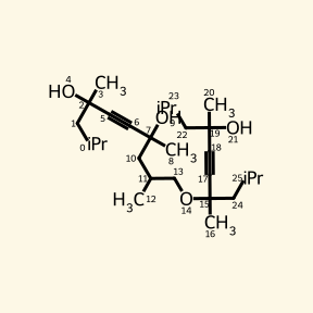 CC(C)CC(C)(O)C#CC(C)(O)CC(C)COC(C)(C#CC(C)(O)CC(C)C)CC(C)C